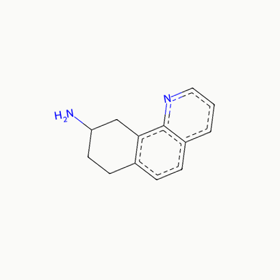 NC1CCc2ccc3cccnc3c2C1